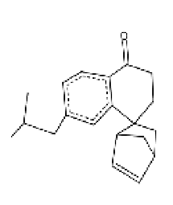 CC(C)Cc1ccc2c(c1)C1(CCC2=O)CC2C=CC1C2